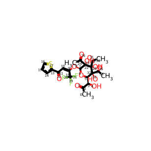 CC(=O)C(O)[C@H]1O[C@@H](OC(=CC(=O)c2cccs2)C(F)(F)F)[C@@](O)(C(C)=O)[C@](O)(C(C)=O)[C@]1(O)C(C)=O